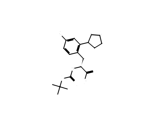 CC(C)(C)OC(=O)N[C@@H](Cc1ccc(N)cc1C1CCCC1)C(=O)O